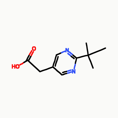 CC(C)(C)c1ncc(CC(=O)O)cn1